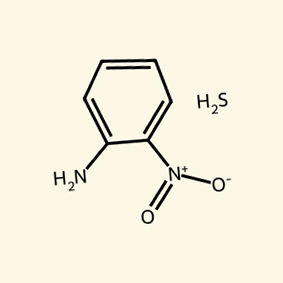 Nc1ccccc1[N+](=O)[O-].S